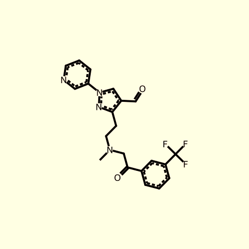 CN(CCc1nn(-c2cccnc2)cc1C=O)CC(=O)c1cccc(C(F)(F)F)c1